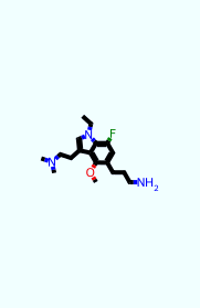 CCn1cc(CCN(C)C)c2c(OC)c(CCCN)cc(F)c21